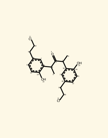 CC(C(=O)C(C)c1cc(CCCl)ccc1O)c1cc(CCCl)ccc1O